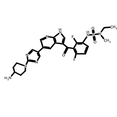 CCN(C)S(=O)(=O)Nc1ccc(F)c(C(=O)c2c[nH]c3ncc(-c4cnc(N5CCC(N)CC5)nc4)cc23)c1F